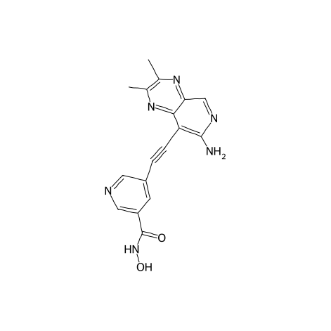 Cc1nc2cnc(N)c(C#Cc3cncc(C(=O)NO)c3)c2nc1C